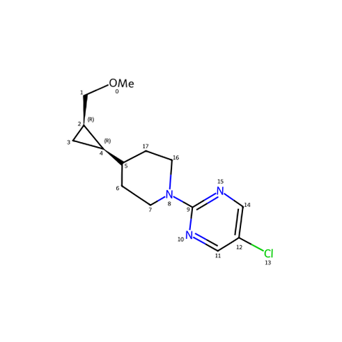 COC[C@@H]1C[C@@H]1C1CCN(c2ncc(Cl)cn2)CC1